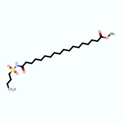 CC(C)(C)OC(=O)CCCCCCCCCCCCCCCCC(=O)NS(=O)(=O)CCCC(=O)O